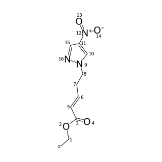 CCOC(=O)/C=C/CCn1cc([N+](=O)[O-])cn1